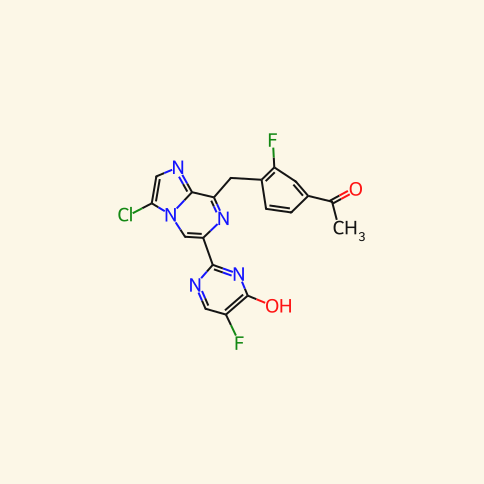 CC(=O)c1ccc(Cc2nc(-c3ncc(F)c(O)n3)cn3c(Cl)cnc23)c(F)c1